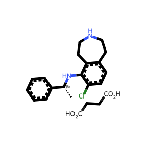 C[C@@H](Nc1c(Cl)ccc2c1CCNCC2)c1ccccc1.O=C(O)CCC(=O)O